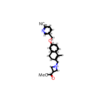 COC(=O)C1CN(CC2=C(C)c3ccc(OCc4ccc(C#N)nc4)cc3CC2)C1